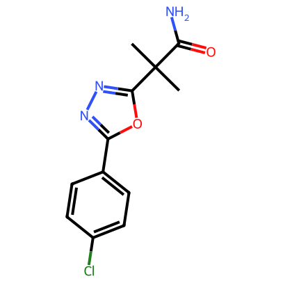 CC(C)(C(N)=O)c1nnc(-c2ccc(Cl)cc2)o1